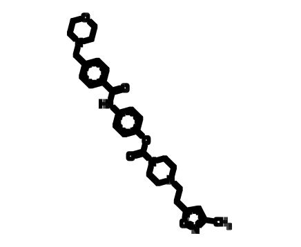 Cc1cc(CCN2CCN(C(=O)Oc3ccc(NC(=O)c4ccc(CN5CCOCC5)cc4)cc3)CC2)on1